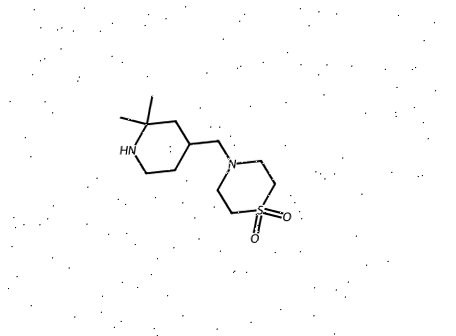 CC1(C)CC(CN2CCS(=O)(=O)CC2)CCN1